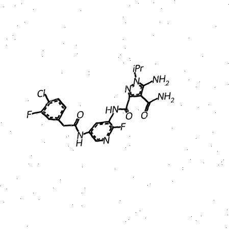 CC(C)n1nc(C(=O)Nc2cc(NC(=O)Cc3ccc(Cl)c(F)c3)cnc2F)c(C(N)=O)c1N